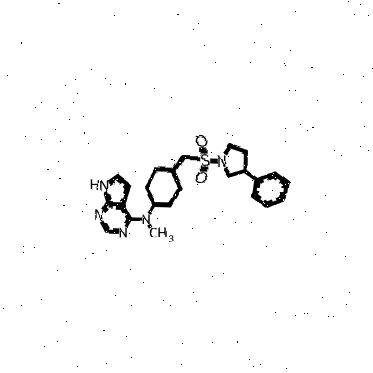 CN(c1ncnc2[nH]ccc12)C1CCC(CS(=O)(=O)N2CCC(c3ccccc3)C2)CC1